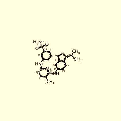 Cc1cnc(Nc2cccc(S(N)(=O)=O)c2)nc1Nc1ccc2c(cnn2C(C)C)c1